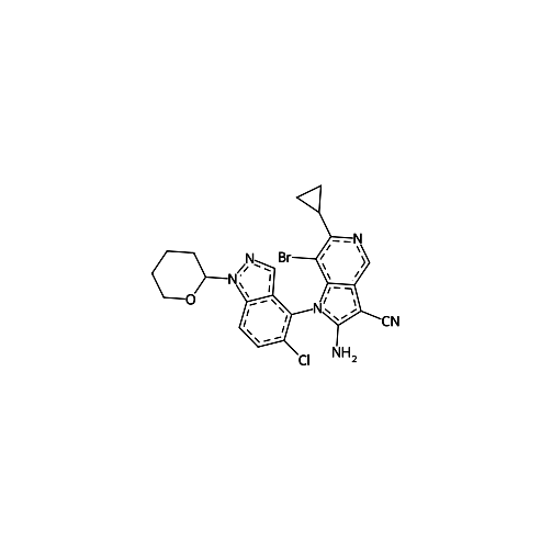 N#Cc1c(N)n(-c2c(Cl)ccc3c2cnn3C2CCCCO2)c2c(Br)c(C3CC3)ncc12